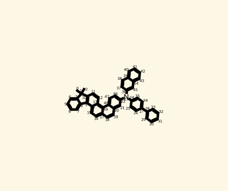 CC1(C)c2ccccc2-c2c1ccc1c2ccc2ccc3cc(N(c4ccc(-c5ccccc5)cc4)c4ccc5ccccc5c4)ccc3c21